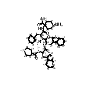 NC(=O)C1(NC(=O)[C@H](Cc2ccccc2)N(N)C(=O)[C@@H](Cc2c[nH]c3ccccc23)NC(=O)[C@@H](Cc2csc3ccccc23)NC(=O)C2CCNCC2)CCN(N)CC1